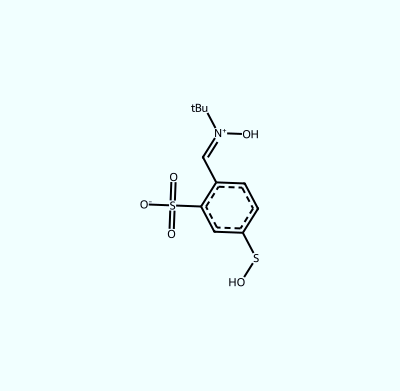 CC(C)(C)/[N+](O)=C/c1ccc(SO)cc1S(=O)(=O)[O-]